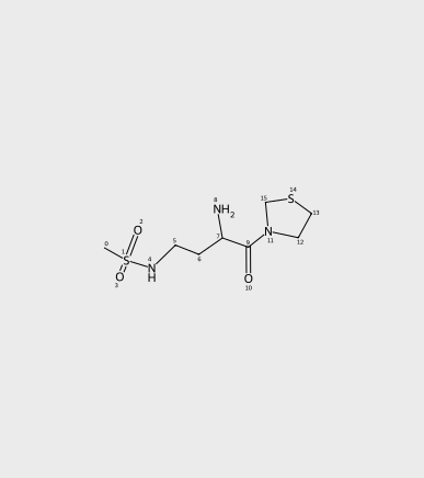 CS(=O)(=O)NCCC(N)C(=O)N1CCSC1